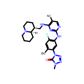 CCC(C)c1cc(F)c(Nc2ncc(C#N)c(NC[C@@H]3CCCN4CCCC[C@H]34)n2)cc1-n1nnn(C)c1=O